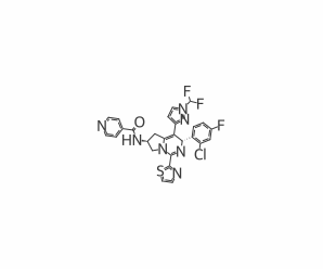 O=C(N[C@H]1CC2=C(c3ccn(C(F)F)n3)[C@H](c3ccc(F)cc3Cl)N=C(c3nccs3)N2C1)c1ccncc1